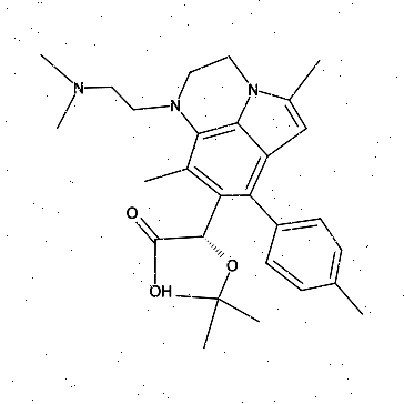 Cc1ccc(-c2c([C@H](OC(C)(C)C)C(=O)O)c(C)c3c4c2cc(C)n4CCN3CCN(C)C)cc1